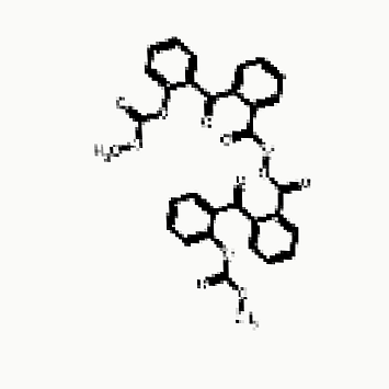 COC(=O)Oc1ccccc1C(=O)c1ccccc1C(=O)OOC(=O)c1ccccc1C(=O)c1ccccc1OC(=O)OC